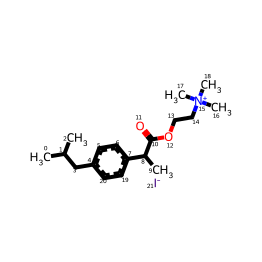 CC(C)Cc1ccc(C(C)C(=O)OCC[N+](C)(C)C)cc1.[I-]